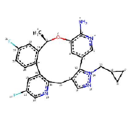 C[C@H]1Oc2cc(cnc2N)-c2c(cnn2CC2CC2)Cc2ncc(F)cc2-c2ccc(F)cc21